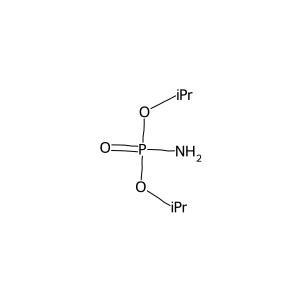 CC(C)OP(N)(=O)OC(C)C